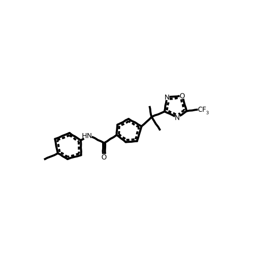 Cc1ccc(NC(=O)c2ccc(C(C)(C)c3noc(C(F)(F)F)n3)cc2)cc1